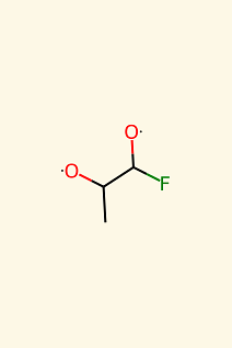 CC([O])C([O])F